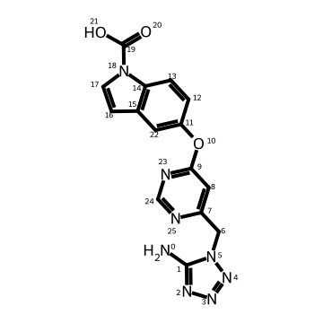 Nc1nnnn1Cc1cc(Oc2ccc3c(ccn3C(=O)O)c2)ncn1